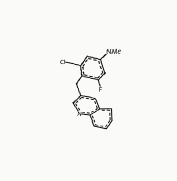 CNc1cc(F)c(Cc2cnc3ccccc3c2)c(Cl)c1